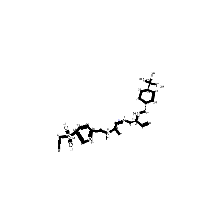 C=C[C@@H](C/N=C\C(C)NCc1ccc(S(=O)(=O)CC)cn1)NC[C@H]1CC[C@H](C(F)(F)F)CC1